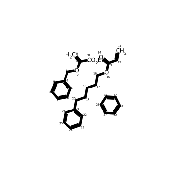 C=C(OCc1ccccc1)C(=O)OCC.C=CC(=O)OCCCCCc1ccccc1.[c]1ccccc1